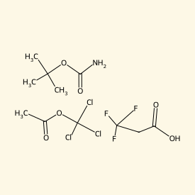 CC(=O)OC(Cl)(Cl)Cl.CC(C)(C)OC(N)=O.O=C(O)CC(F)(F)F